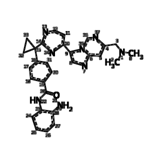 CN(C)Cc1cc2ncc(-c3ccnc(C4(c5ccc(C(=O)Nc6ccccc6N)cc5)CC4)n3)n2cn1